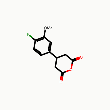 COc1cc(C2CC(=O)OC(=O)C2)ccc1F